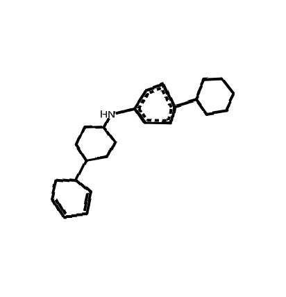 C1=CCC(C2CCC(Nc3ccc(C4CCCCC4)cc3)CC2)C=C1